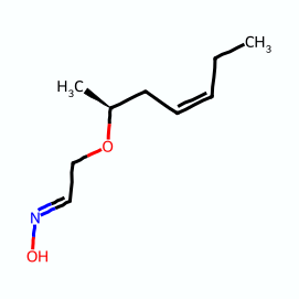 CC/C=C\C[C@H](C)OC/C=N/O